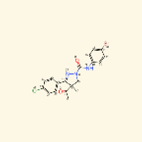 CC(=O)C1(C)CN(C(=O)Nc2ccc(Br)cc2)N=C1c1ccc(Cl)cc1